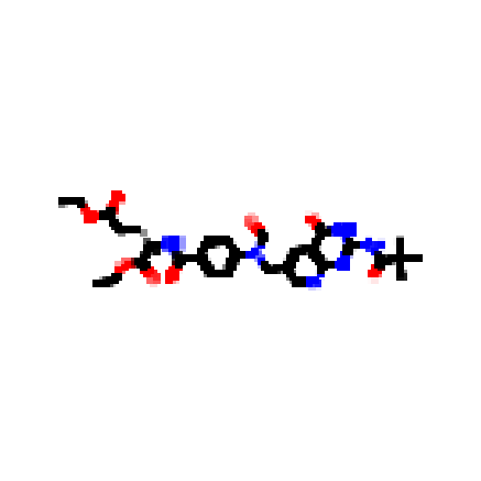 CCOC(=O)CC[C@H](NC(=O)c1ccc(N(C=O)Cc2cnc3nc(NC(=O)C(C)(C)C)[nH]c(=O)c3c2)cc1)C(=O)OCC